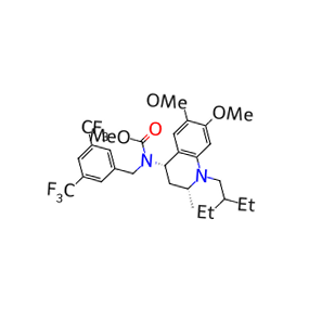 CCC(CC)CN1c2cc(OC)c(OC)cc2[C@@H](N(Cc2cc(C(F)(F)F)cc(C(F)(F)F)c2)C(=O)OC)C[C@H]1C